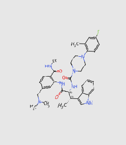 CCNC(=O)c1ccc(CN(C)C)cc1NC(=O)[C@H](NC(=O)N1CCN(c2ccc(F)cc2C)CC1)[C@@H](C)c1c[nH]c2ccccc12